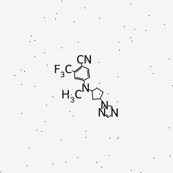 CN(c1ccc(C#N)c(C(F)(F)F)c1)C1CCC(n2cncn2)C1